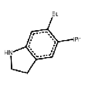 CCc1cc2c(cc1C(C)C)CCN2